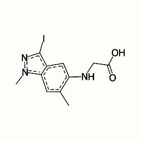 Cc1cc2c(cc1NCC(=O)O)c(I)nn2C